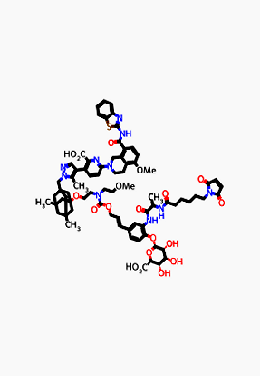 COCCN(CCOC12CC3(C)CC(C)(CC(Cn4ncc(-c5ccc(N6CCc7c(OC)ccc(C(=O)Nc8nc9ccccc9s8)c7C6)nc5C(=O)O)c4C)(C3)C1)C2)C(=O)OC/C=C/c1ccc(O[C@@H]2O[C@H](C(=O)O)[C@@H](O)[C@H](O)[C@H]2O)c(NC(=O)C(C)NC(=O)CCCCCN2C(=O)C=CC2=O)c1